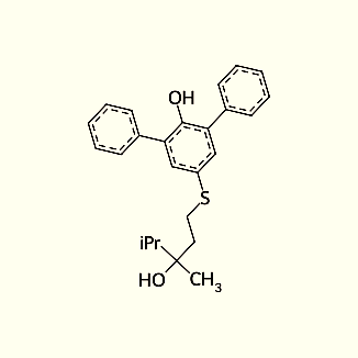 CC(C)C(C)(O)CCSc1cc(-c2ccccc2)c(O)c(-c2ccccc2)c1